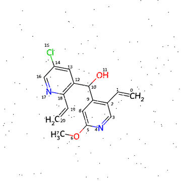 C=Cc1cnc(OC)cc1C(O)c1cc(Cl)cnc1C=C